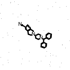 N#Cc1ccc2c(c1)CCN(C1CCN(C(c3ccccc3)c3ccccc3)CC1)C2